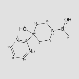 CB(O)N1CCC(O)(c2ncccn2)CC1